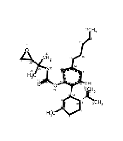 C=C(C)[C@@H]1CCC(C)=C[C@H]1c1c(O)cc(CCCCC)cc1OC(=O)SC(C)(C)C1CO1